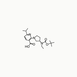 CCN(C(=O)OC(C)(C)C)[C@@H]1CCN(c2nc(C(C)C)ccc2C(=O)O)C1